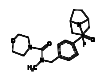 CN(Cc1ccc(C(=O)N2C3CCC2CC(F)C3)cc1)C(=O)N1CCOCC1